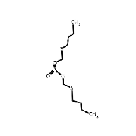 CCCCSCO[PH](=O)OCSCCCC